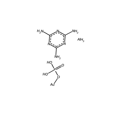 Nc1nc(N)nc(N)n1.O=P(O)(O)[O][Au].[AlH3]